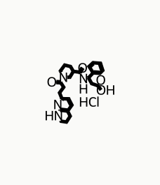 Cl.O=C(O)CC(NC(=O)C1CCCN(C(=O)CCc2ccc3c(n2)NCCC3)C1)c1ccccc1